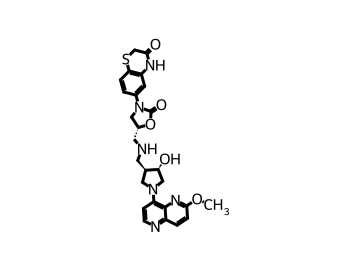 COc1ccc2nccc(N3C[C@@H](CNC[C@@H]4CN(c5ccc6c(c5)NC(=O)CS6)C(=O)O4)[C@H](O)C3)c2n1